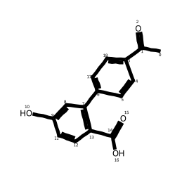 CC(=O)c1ccc(-c2cc(O)ccc2C(=O)O)cc1